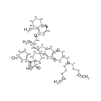 COCCCN(CCCOC)CC1COc2cc3c(cc2OC1)C1(CCC(Nc2cccc(Cl)c2)(C(=O)O)CC1)[C@@H](C[C@@H](C)COc1ccnc2c1[C@H](C)CCC2)C3